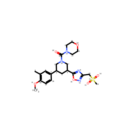 Cc1cc(C2CC(c3nc(CS(C)(=O)=O)no3)CN(C(=O)N3CCOCC3)C2)ccc1OC(F)(F)F